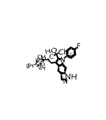 CC(C)[Si](OC(=O)CCc1c(C(C)(C)O)n(-c2ccc(F)cc2)c2cc3[nH]ncc3cc12)(C(C)C)C(C)C